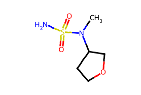 CN(C1CCOC1)S(N)(=O)=O